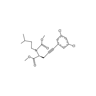 COC(=O)[C@H](CC#Cc1cc(Cl)cc(Cl)c1)N(CCC(C)C)C(=O)OC